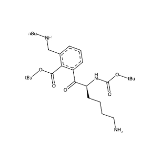 CCCCNCc1cccc(C(=O)[C@H](CCCCN)NC(=O)OC(C)(C)C)c1C(=O)OC(C)(C)C